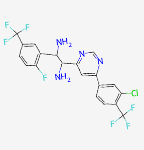 NC(c1cc(-c2ccc(C(F)(F)F)c(Cl)c2)ncn1)C(N)c1cc(C(F)(F)F)ccc1F